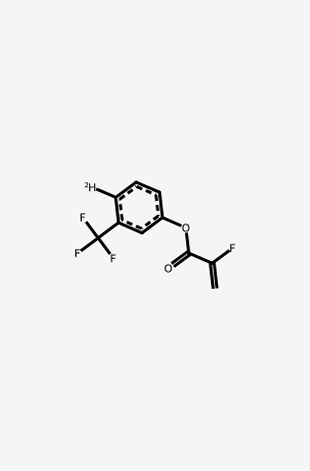 [2H]c1ccc(OC(=O)C(=C)F)cc1C(F)(F)F